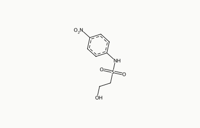 O=[N+]([O-])c1ccc(NS(=O)(=O)CCO)cc1